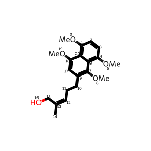 COc1ccc(OC)c2c(OC)c(CCC=C(C)CO)cc(OC)c12